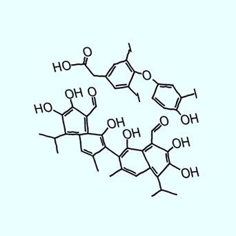 Cc1cc2c(C(C)C)c(O)c(O)c(C=O)c2c(O)c1-c1c(C)cc2c(C(C)C)c(O)c(O)c(C=O)c2c1O.O=C(O)Cc1cc(I)c(Oc2ccc(O)c(I)c2)c(I)c1